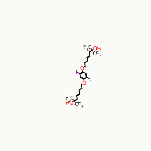 OC(CC=CCCCOc1cc(I)c(OCCCC=CCC(O)(C(F)(F)F)C(F)(F)F)cc1I)(C(F)(F)F)C(F)(F)F